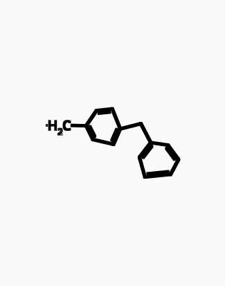 [CH2]c1ccc(Cc2ccccc2)cc1